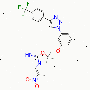 C/C(=C\N1C[C@](C)(COc2cccc(-n3cc(-c4ccc(C(F)(F)F)cc4)nn3)c2)OC1=N)[N+](=O)[O-]